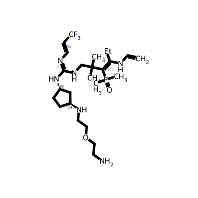 C=CN/C(CC)=C(/C(C)(C)CN/C(=N\C=C\C(F)(F)F)N[C@H]1CC[C@H](NCCOCCN)C1)P(C)(C)=O